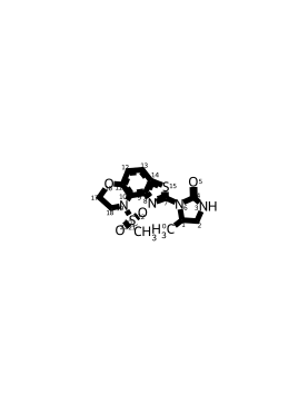 CC1CNC(=O)N1c1nc2c3c(ccc2s1)OCCN3S(C)(=O)=O